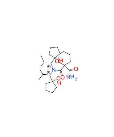 CC(C)[C@@H](N(C(=O)C1(C(N)=O)CCCCC1)[C@H](C(C)C)C1(O)CCCC1)C1(O)CCCC1